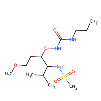 [CH2]CCNC(=O)NOC(CCOC)C(NS(C)(=O)=O)C(C)C